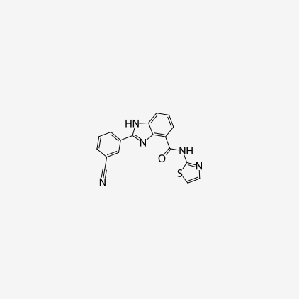 N#Cc1cccc(-c2nc3c(C(=O)Nc4nccs4)cccc3[nH]2)c1